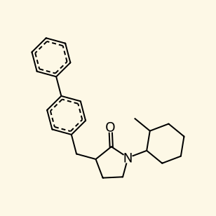 CC1CCCCC1N1CCC(Cc2ccc(-c3ccccc3)cc2)C1=O